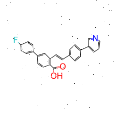 O=C(O)c1ccc(-c2ccc(F)cc2)cc1/C=C/c1ccc(-c2cccnc2)cc1